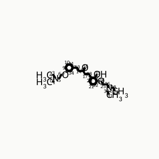 CCN(CC)CCOc1cccc(/C=C/C(=O)/C=C/c2cccc(OCCN(CC)CC)c2O)c1